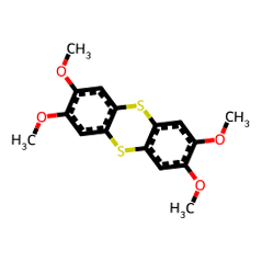 COc1cc2c(cc1OC)Sc1cc(OC)c(OC)cc1S2